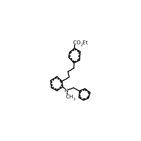 CCOC(=O)c1ccc(CCCc2ccccc2N(C)Cc2ccccc2)cc1